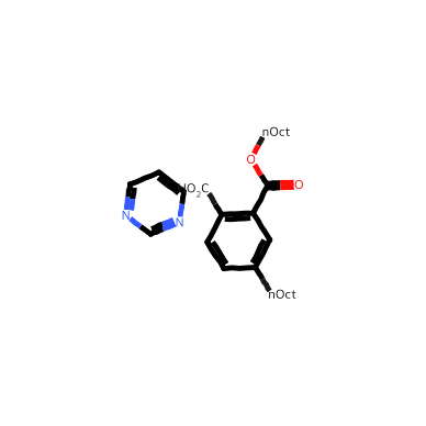 CCCCCCCCOC(=O)c1cc(CCCCCCCC)ccc1C(=O)O.c1cncnc1